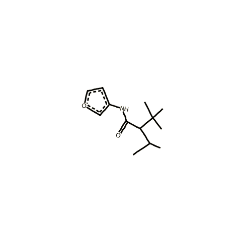 CC(C)C(C(=O)Nc1ccoc1)C(C)(C)C